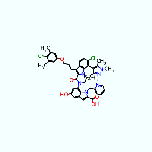 Cc1cc(OCCCc2c3n(c4c(-c5c(C)nn(C)c5C)c(Cl)ccc24)C(C)CN(c2cc(O)cc4cc(C(=O)O)n(Cc5ccccn5)c24)C3=O)cc(C)c1Cl